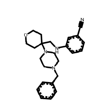 N#Cc1cccc(NCC2(N3CCN(Cc4ccccc4)CC3)CCOCC2)c1